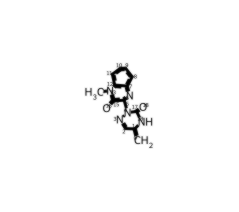 C=C1C=NN(c2nc3ccccc3n(C)c2=O)C(=O)N1